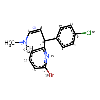 CN(C)/C=C\C(c1ccc(Cl)cc1)c1cccc(Br)n1